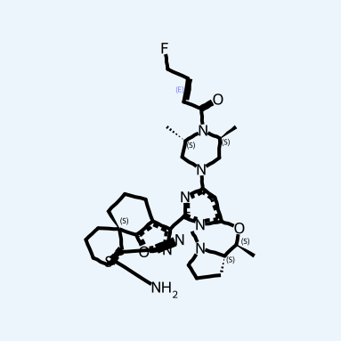 C[C@H](Oc1cc(N2C[C@H](C)N(C(=O)/C=C/CF)[C@@H](C)C2)nc(-c2noc3c2CCC[C@@]32CCCc3sc(N)c(C#N)c32)n1)[C@@H]1CCCN1C